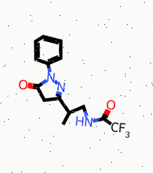 CC(CNC(=O)C(F)(F)F)C1=NN(c2ccccc2)C(=O)C1